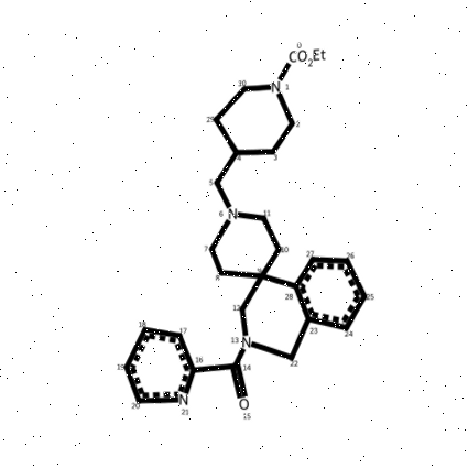 CCOC(=O)N1CCC(CN2CCC3(CC2)CN(C(=O)c2ccccn2)Cc2ccccc23)CC1